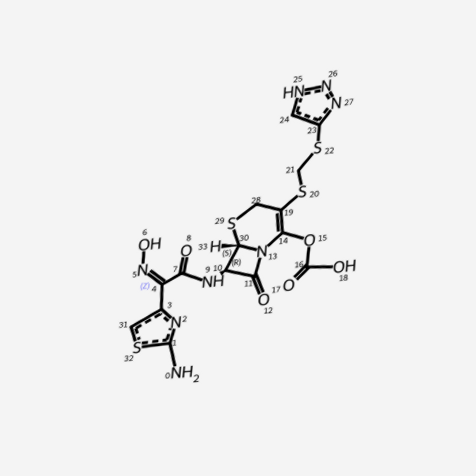 Nc1nc(/C(=N/O)C(=O)N[C@@H]2C(=O)N3C(OC(=O)O)=C(SCSc4c[nH]nn4)CS[C@@H]23)cs1